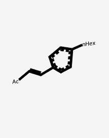 CCCCCCc1ccc(C=CC(C)=O)cc1